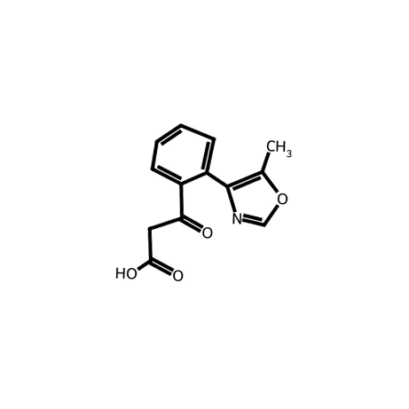 Cc1ocnc1-c1ccccc1C(=O)CC(=O)O